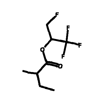 CCC(C)C(=O)OC(CF)C(F)(F)F